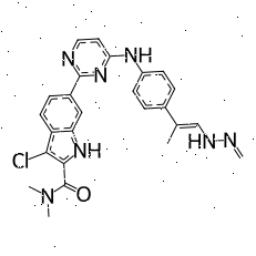 C=NN/C=C(\C)c1ccc(Nc2ccnc(-c3ccc4c(Cl)c(C(=O)N(C)C)[nH]c4c3)n2)cc1